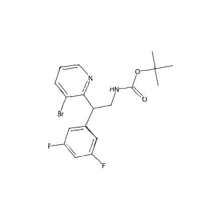 CC(C)(C)OC(=O)NCC(c1cc(F)cc(F)c1)c1ncccc1Br